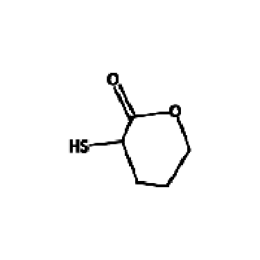 O=C1OCCCC1S